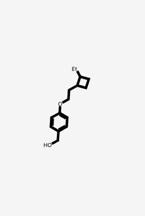 CCC1CCC1CCOc1ccc(CO)cc1